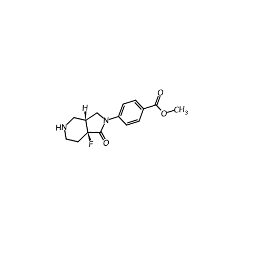 COC(=O)c1ccc(N2C[C@H]3CNCC[C@@]3(F)C2=O)cc1